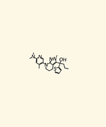 CCCC(O)(c1cccs1)c1c2c(nn1C)N(c1cnc(N(C)C)cc1C)CCC2